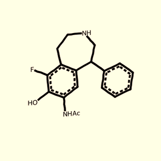 CC(=O)Nc1cc2c(c(F)c1O)CCNCC2c1ccccc1